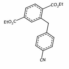 CCOC(=O)c1ccc(C(=O)OCC)c(Cc2ccc(C#N)cc2)c1